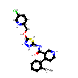 COc1ccccc1-c1ccncc1C(=O)Nc1nnc(OCc2ccc(Cl)cn2)s1